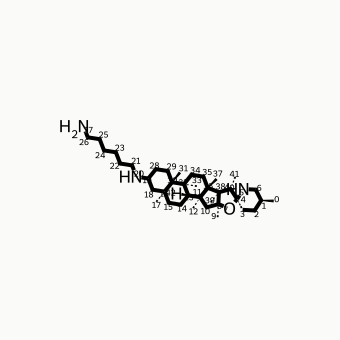 C[C@H]1CC[C@]2(NC1)O[C@@]1(C)C[C@@]3(C)[C@@H]4CC[C@@]5(C)CC(NCCCCCCN)CC[C@]5(C)[C@@]4(C)CC[C@]3(C)[C@@]1(C)[C@@H]2C